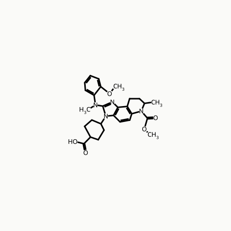 COC(=O)N1c2ccc3c(nc(N(C)c4ccccc4OC)n3C3CCC(C(=O)O)CC3)c2CCC1C